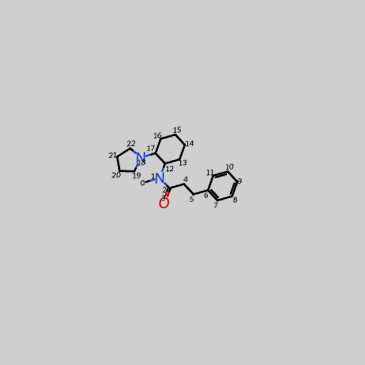 CN(C(=O)CCc1ccccc1)C1CCCCC1N1CCCC1